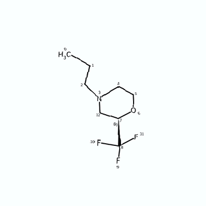 CCCN1CCO[C@@H](C(F)(F)F)C1